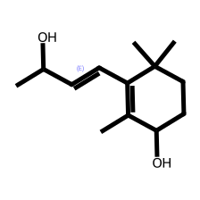 CC1=C(/C=C/C(C)O)C(C)(C)CCC1O